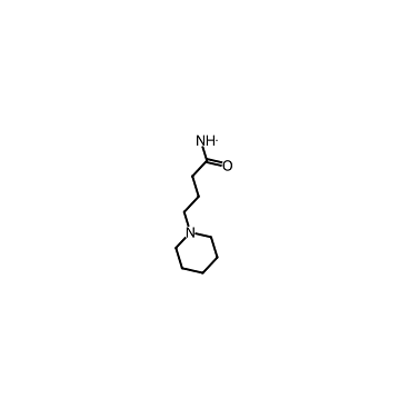 [NH]C(=O)CCCN1CCCCC1